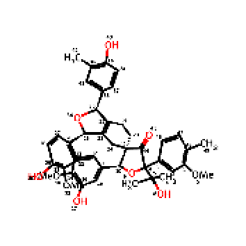 COc1cc(C2(C(C)(C)O)O[C@@H](c3ccc(OC)c(O)c3)[C@]3(CCC4=C(C3)[C@@H](c3ccc(O)c(OC)c3)O[C@H]4c3ccc(O)c(C)c3)C2=O)ccc1C